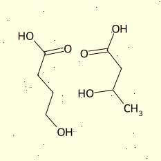 CC(O)CC(=O)O.O=C(O)CCCO